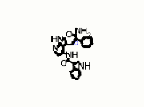 NC(=O)/C(=C\c1c[nH]c2nccc(NC(=O)c3c[nH]c4ccccc34)c12)c1ccccc1